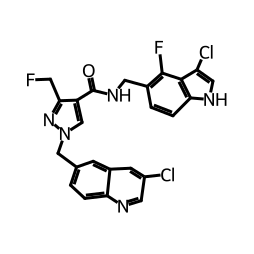 O=C(NCc1ccc2[nH]cc(Cl)c2c1F)c1cn(Cc2ccc3ncc(Cl)cc3c2)nc1CF